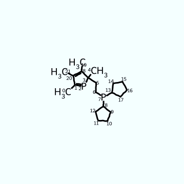 CC1=PC(C)(CCP(C2CCCC2)C2CCCC2)C(C)=C1C